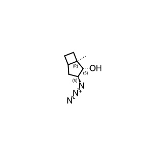 C[C@@]12CCC1C[C@H](N=[N+]=[N-])[C@H]2O